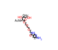 CC(=O)NC1C(O)[C@@H](OC(C)=O)C(CO)O[C@H]1OCCOCCOCCNC(=O)c1ccc(N)nc1